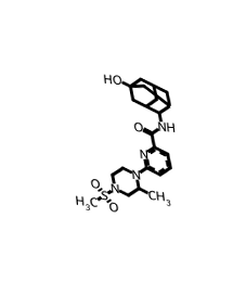 CC1CN(S(C)(=O)=O)CCN1c1cccc(C(=O)NC2C3CC4CC2CC(O)(C4)C3)n1